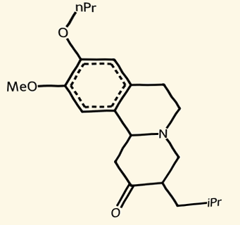 CCCOc1cc2c(cc1OC)C1CC(=O)C(CC(C)C)CN1CC2